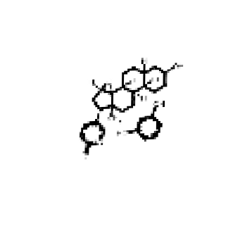 C[C@]12CC[C@H](O)C[C@H]1CC[C@@H]1[C@@H]2CC[C@]2(C)[C@@H](c3ccc(=O)oc3)C[C@H]3O[C@]132.Oc1cccc(O)c1